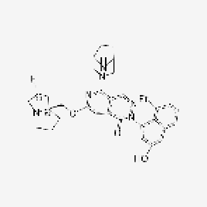 CCc1cccc2cc(O)cc(-n3ncc4c(N5CC6CCC(C5)N6)nc(OC[C@@]56CCCN5C[C@H](F)C6)cc4c3=O)c12